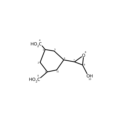 O=C(O)C1CC(C(=O)O)CC(C2OC2O)C1